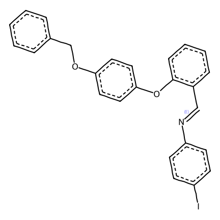 Ic1ccc(/N=C/c2ccccc2Oc2ccc(OCc3ccccc3)cc2)cc1